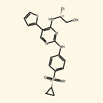 CC[C@H](CO)Nc1nc(Nc2ccc([S@@](=N)(=O)C3CC3)cc2)ncc1-c1cccs1